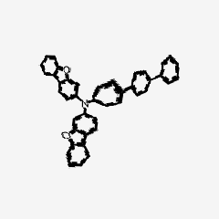 c1ccc(-c2ccc(-c3ccc(N(c4ccc5c(c4)oc4ccccc45)c4ccc5c(c4)oc4ccccc45)cc3)cc2)cc1